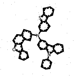 c1ccc(-n2c3ccccc3c3cc(N(c4ccc5c(c4)sc4ccccc45)c4ccc5ccc6oc7ccccc7c6c5c4)ccc32)cc1